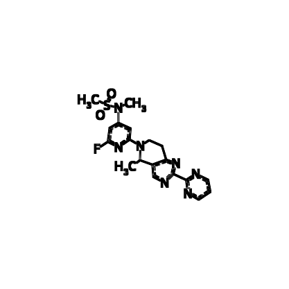 CC1c2cnc(-c3ncccn3)nc2CCN1c1cc(N(C)S(C)(=O)=O)cc(F)n1